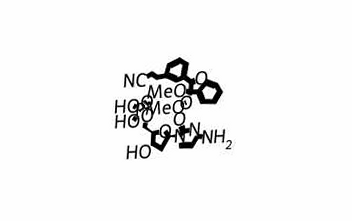 COOC(OC)(C(=O)c1cccc(CCC#N)c1)c1ccccc1.Nc1ccn([C@H]2C[C@H](O)[C@@H](COP(=O)(O)O)O2)c(=O)n1